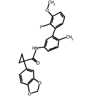 COc1cccc(-c2cc(NC(=O)C3(c4ccc5c(c4)OCO5)CC3)ccc2C)c1F